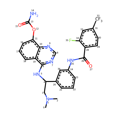 CN(C)CC(Nc1ncnc2c(OC(N)=O)cccc12)c1cccc(NC(=O)c2ccc(C(F)(F)F)cc2F)c1